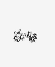 O=C(c1ccnc(Oc2ccc(CCNc3ncnc4nccnc34)cc2)c1)C1CC1